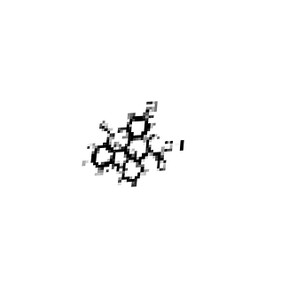 CC/C(C(=O)O)=C1/CCCn2c1c(-c1ccc(Cl)cc1)c1c(SC)cccc12